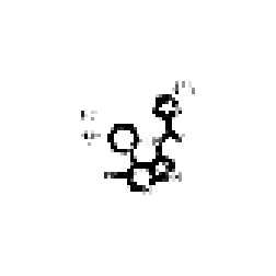 Cl.Cn1ccc(C(=O)Nc2c[nH]c3ncc(Br)c(N4CCC[C@@H](N)C4)c23)n1